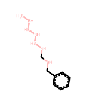 BBBBBBCBCc1ccccc1